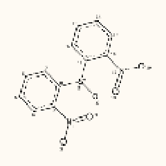 O=[N+]([O-])c1ccccc1[S+]([O-])c1ccccc1[N+](=O)[O-]